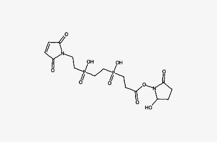 O=C(CCP(=O)(O)CCP(=O)(O)CCN1C(=O)C=CC1=O)ON1C(=O)CCC1O